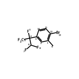 Cc1cc(C(F)(C(F)F)C(F)(F)F)ccc1Br